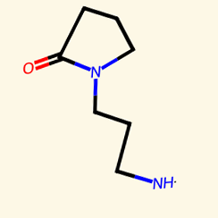 [NH]CCCN1CCCC1=O